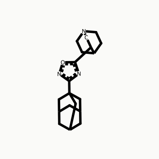 C1C2CC3CC1CC(c1noc(C4CN5CCC4CC5)n1)(C2)C3